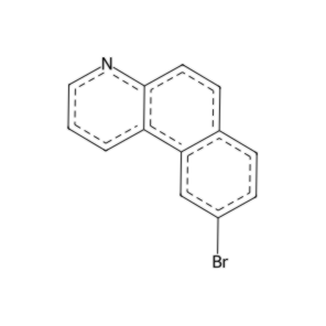 Brc1ccc2ccc3ncccc3c2c1